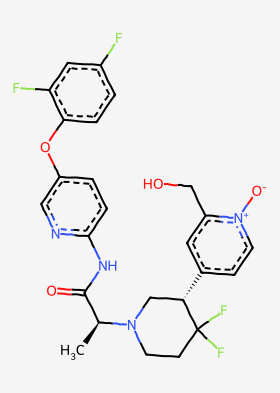 C[C@@H](C(=O)Nc1ccc(Oc2ccc(F)cc2F)cn1)N1CCC(F)(F)[C@@H](c2cc[n+]([O-])c(CO)c2)C1